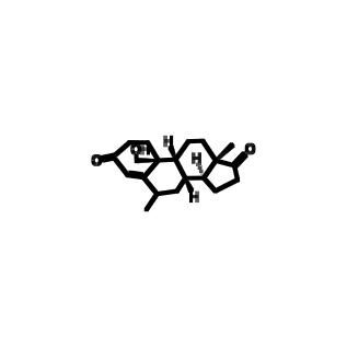 CC1C[C@@H]2[C@@H](CC[C@]3(C)C(=O)CC[C@@H]23)[C@@]2(CO)CCC(=O)C=C12